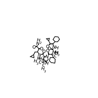 CC1([C@H](NC(=O)N[C@H](C(=O)C2CC2)C2CCCCC2)C(=O)N2C[C@H]3[C@@H]([C@H]2C(=O)NC(CC2CC2)C(=O)C(N)=O)C3(C)C)CCCCC1